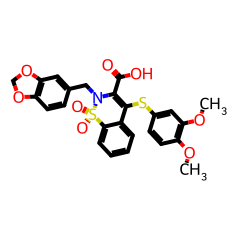 COc1ccc(SC2=C(C(=O)O)N(Cc3ccc4c(c3)OCO4)S(=O)(=O)c3ccccc32)cc1OC